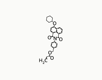 C=CC(=O)OCc1ccc(N2C(=O)c3cccc4c(OC5CCCCC5)ccc(c34)C2=O)cc1